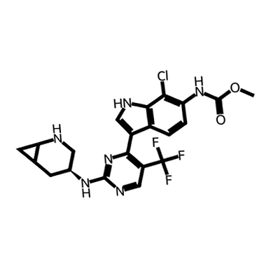 COC(=O)Nc1ccc2c(-c3nc(N[C@@H]4CNC5CC5C4)ncc3C(F)(F)F)c[nH]c2c1Cl